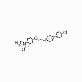 CN1C(=O)Cc2cc(OCCCN3CCN(c4ccc(Cl)cc4)CC3)ccc21